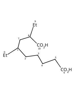 CCC(CCCCC(=O)O)CC(CC)C(=O)O